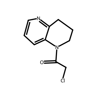 O=C(CCl)N1CCCc2ncccc21